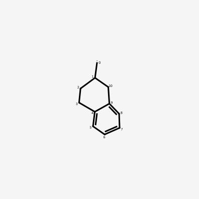 [CH2]C1CCc2ccccc2C1